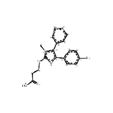 Cn1c(SCCC(=O)O)nc(-c2ccc(F)cc2)c1-c1ccncc1